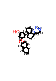 Oc1cccc(O)c1.c1ccc2c(c1)CCCC2.c1ccc2c(c1)CCCC2.c1cnnnc1